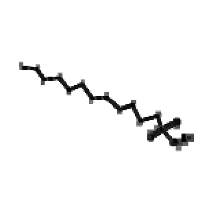 CCCCCCCCCCCCS(=O)(=O)O.[LiH]